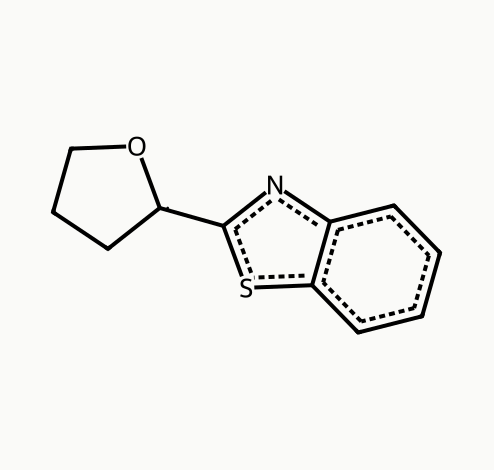 c1ccc2sc([C]3CCCO3)nc2c1